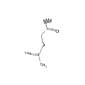 CNC(=O)CCC(C)=N